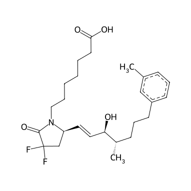 Cc1cccc(CCC[C@H](C)[C@H](O)/C=C/[C@H]2CC(F)(F)C(=O)N2CCCCCCC(=O)O)c1